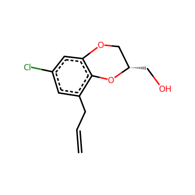 C=CCc1cc(Cl)cc2c1O[C@@H](CO)CO2